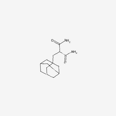 NC(=O)C(CC12CC3CC(CC(C3)C1)C2)C(N)=O